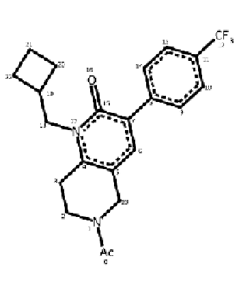 CC(=O)N1CCc2c(cc(-c3ccc(C(F)(F)F)cc3)c(=O)n2CC2CCC2)C1